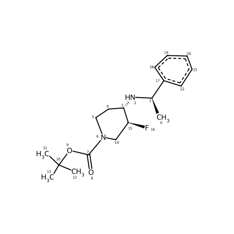 C[C@@H](N[C@H]1CCN(C(=O)OC(C)(C)C)C[C@@H]1F)c1ccccc1